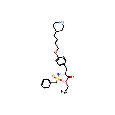 CCOC(=O)C(Cc1ccc(OCCCCC2CCNCC2)cc1)NS(=O)(=O)Cc1ccccc1